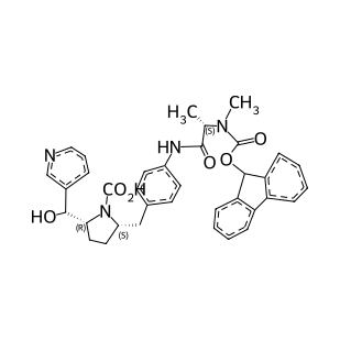 C[C@@H](C(=O)Nc1ccc(C[C@@H]2CC[C@H](C(O)c3cccnc3)N2C(=O)O)cc1)N(C)C(=O)OC1c2ccccc2-c2ccccc21